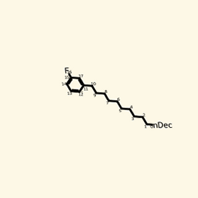 CCCCCCCCCCCCCCCCCCCCc1[c]ccc(F)c1